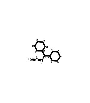 S=C=NC(C1CCCCC1)C1CCCCC1